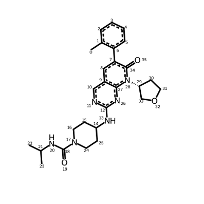 Cc1ccccc1-c1cc2cnc(NC3CCN(C(=O)NC(C)C)CC3)nc2n([C@@H]2CCOC2)c1=O